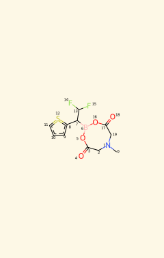 CN1CC(=O)OB(C(c2cccs2)C(F)F)OC(=O)C1